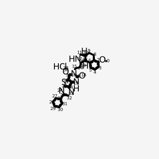 COc1cccc2c1CC[C@H]1CNC(CCn3c(=O)[nH]c4c(sc5nc(-c6ccccc6)cnc54)c3=O)[C@@H]21.Cl